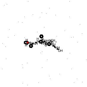 CN1[C@@H]2CC[C@H]1CC(Nc1ccccc1CNCCNc1ccc(C(=O)NS(=O)(=O)c3ccc(NCCCNCCO)c([N+](C)([O-])O)c3)c(Oc3ccccc3)c1)C2